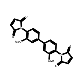 COc1cc(-c2ccc(N3C(=O)C=CC3=O)c(OC)c2)ccc1N1C(=O)C=CC1=O